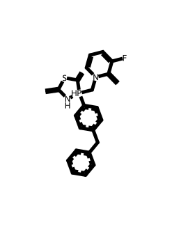 C=C1N[PH](CN2C=CC=C(F)C2=C)(c2ccc(Cc3ccccc3)cc2)C(=C)S1